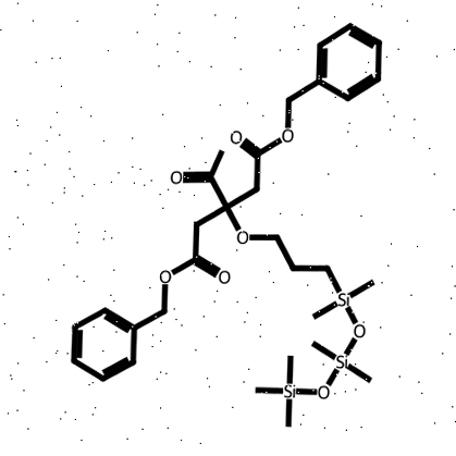 CC(=O)C(CC(=O)OCc1ccccc1)(CC(=O)OCc1ccccc1)OCCC[Si](C)(C)O[Si](C)(C)O[Si](C)(C)C